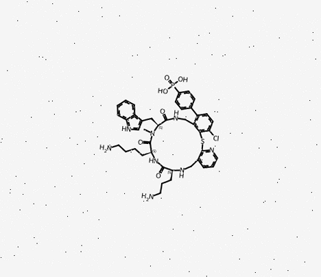 CN1C(=O)[C@H](CCCCN)NC(=O)[C@H](CCCN)NCc2cccnc2Sc2c(Cl)ccc(-c3ccc(P(=O)(O)O)cc3)c2CNC(=O)[C@@H]1Cc1c[nH]c2ccccc12